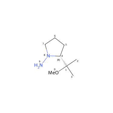 COC(C)(C)[C@H]1CCCN1N